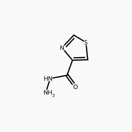 NNC(=O)c1cscn1